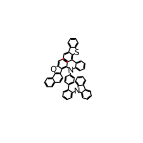 c1ccc(N(c2ccc(-c3ccccc3-n3c4ccccc4c4ccccc43)cc2)c2cccc3oc4c5ccccc5ccc4c23)c(-c2cccc3c2sc2ccccc23)c1